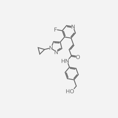 O=C(C=Cc1cncc(F)c1-c1cnn(C2CC2)c1)Nc1ccc(CO)cc1